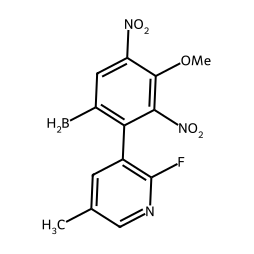 Bc1cc([N+](=O)[O-])c(OC)c([N+](=O)[O-])c1-c1cc(C)cnc1F